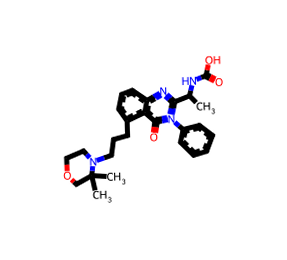 CC(NC(=O)O)c1nc2cccc(CCCN3CCOCC3(C)C)c2c(=O)n1-c1ccccc1